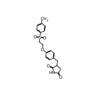 Cc1ccc(S(=O)(=O)CCOc2ccc(CC3SC(=O)NC3=O)cc2)cc1